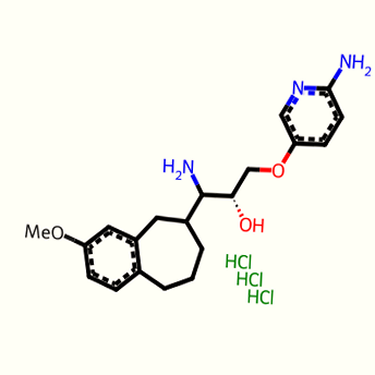 COc1ccc2c(c1)CC(C(N)[C@@H](O)COc1ccc(N)nc1)CCC2.Cl.Cl.Cl